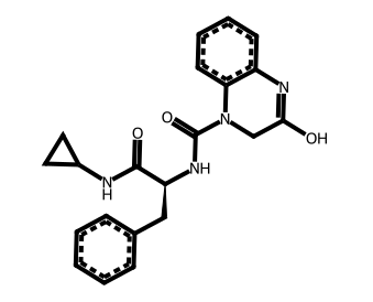 O=C(NC1CC1)[C@H](Cc1ccccc1)NC(=O)N1CC(O)=Nc2ccccc21